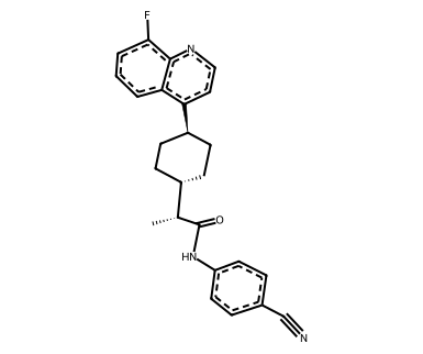 C[C@@H](C(=O)Nc1ccc(C#N)cc1)[C@H]1CC[C@H](c2ccnc3c(F)cccc32)CC1